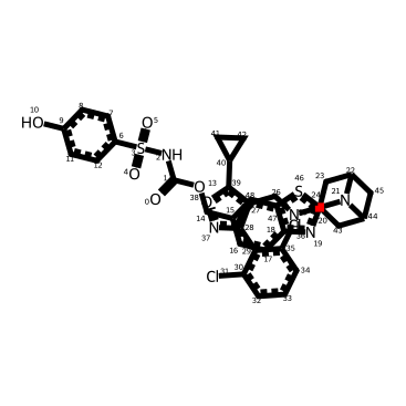 O=C(NS(=O)(=O)c1ccc(O)cc1)OCc1ccc2nc(N3C4CC(NCc5c(-c6c(Cl)cccc6Cl)noc5C5CC5)CC3C4)sc2c1